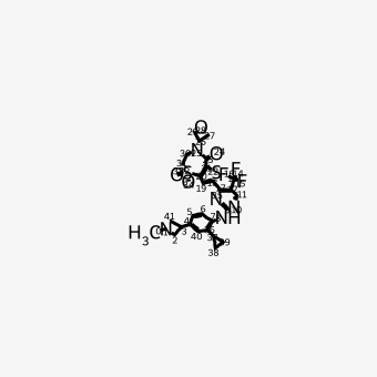 CN1CC(c2ccc(Nc3ncc(C(F)(F)F)c(-c4cc5c(s4)C(=O)N(C4COC4)CCS5(=O)=O)n3)c(C3CC3)c2)C1